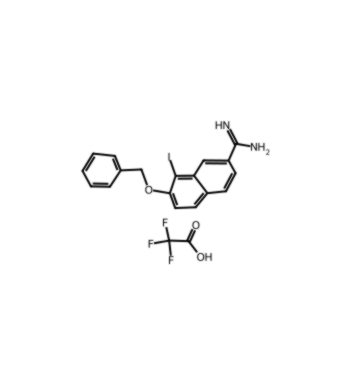 N=C(N)c1ccc2ccc(OCc3ccccc3)c(I)c2c1.O=C(O)C(F)(F)F